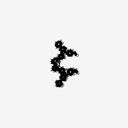 CCc1ccc(-n2c3ccc(-c4ccccc4)cc3c3cc(-c4cccc(-c5cccc(-c6ccc7c(c6)c6cc(-c8ccccc8)ccc6n7-c6ccc(CC)cc6)n5)n4)ccc32)cc1